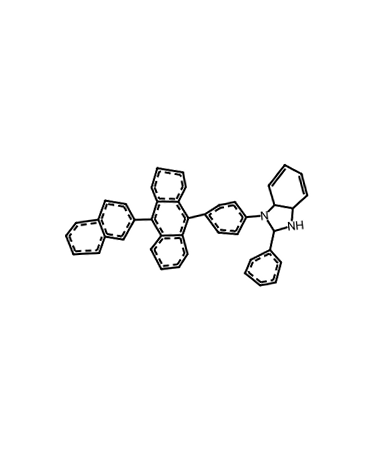 C1=CC2NC(c3ccccc3)N(c3ccc(-c4c5ccccc5c(-c5ccc6ccccc6c5)c5ccccc45)cc3)C2C=C1